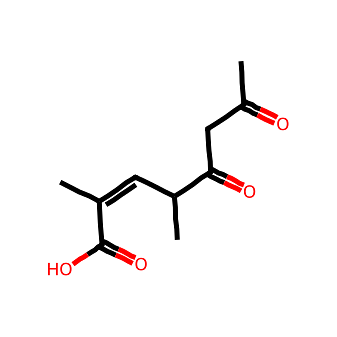 CC(=O)CC(=O)C(C)C=C(C)C(=O)O